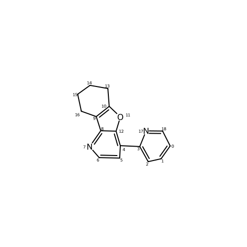 c1ccc(-c2ccnc3c4c(oc23)CCCC4)nc1